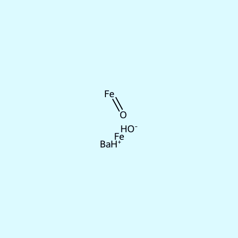 [BaH+].[Fe].[OH-].[O]=[Fe]